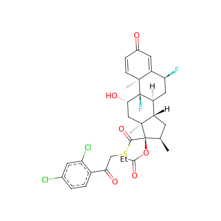 CCC(=O)O[C@]1(C(=O)SCC(=O)c2ccc(Cl)cc2Cl)[C@H](C)C[C@H]2[C@@H]3C[C@H](F)C4=CC(=O)C=C[C@]4(C)[C@@]3(F)[C@@H](O)C[C@@]21C